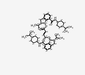 CC(C)N1CCC(NC(=O)c2cccc3c2N(OC(=O)/C=C/C(=O)ON2c4c(cccc4C(=O)NC4CCN(C(C)C)CC4)CN2C(C)C)N(C(C)C)C3)CC1